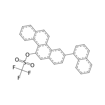 O=S(=O)(Oc1cc2ccc(-c3cccc4ccccc34)cc2c2ccc3ccccc3c12)C(F)(F)F